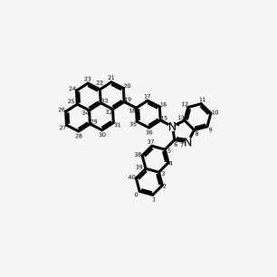 c1ccc2cc(-c3nc4ccccc4n3-c3ccc(-c4ccc5ccc6cccc7ccc4c5c67)cc3)ccc2c1